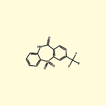 O=C1Nc2ccccc2S(=O)(=O)c2cc(C(F)(F)F)ccc21